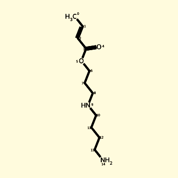 C/C=C/C(=O)OCCCNCCCCN